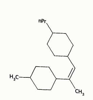 CCCC1CCC(C=C(C)C2CCC(C)CC2)CC1